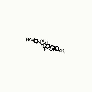 Cc1ccc(CC2(O)C[C@H]3CN(CC(O)c4ccc(O)cc4)C[C@H]3C2)cc1